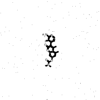 Cc1cc(OC(=O)N(C)C)cc2oc(=O)c(-c3ccnc(N)c3F)c(C)c12